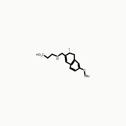 CCCCOc1ccc2c(c1)C[C@@H](C)C(CNCCC(=O)O)=C2